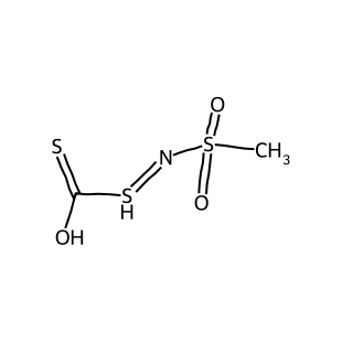 CS(=O)(=O)N=[SH]C(O)=S